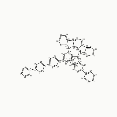 c1ccc(-c2ccc(-c3ccc(-c4nc(-c5ccc(-c6ccccc6)cc5)nc(-n5c6ccccc6c6ccc7c8ccccc8n(-c8ccccc8)c7c65)n4)cc3)cc2)cc1